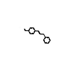 C=Cc1ccc(C=CCc2ccccc2)cc1